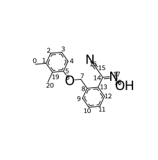 Cc1cccc(OCc2ccccc2/C(C#N)=N\O)c1C